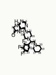 O=C1CNc2ncnc(N3CCN(C(CN4CCCCC4)c4ccc(F)c(F)c4F)CC3)c2N1